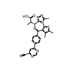 Cc1sc2c(c1C)C(c1ccc(-c3cc(C#N)ncn3)cc1)=N[C@@H](C(C)C(=O)O)c1nnc(C)n1-2